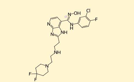 O/N=C(\Nc1ccc(F)c(Cl)c1)c1ccnc2nc(CCNCCN3CCC(F)(F)CC3)[nH]c12